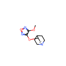 COc1nonc1OC1CN2CCC1CC2